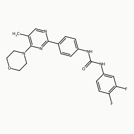 Cc1cnc(-c2ccc(NC(=O)Nc3ccc(F)c(F)c3)cc2)nc1N1CCOCC1